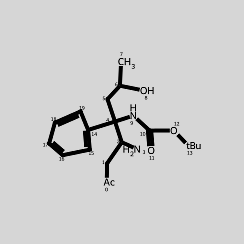 CC(=O)CC(N)C(CC(C)O)(NC(=O)OC(C)(C)C)c1ccccc1